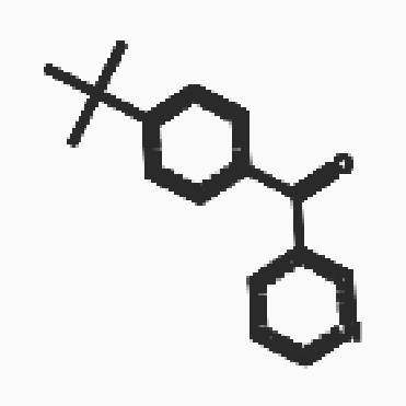 CC(C)(C)c1ccc(C(=O)c2cccnc2)cc1